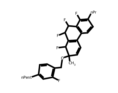 CCCCCc1ccc(COC2(C)C=CC3=C(C(F)C(F)c4c3ccc(CCC)c4F)C2F)c(F)c1